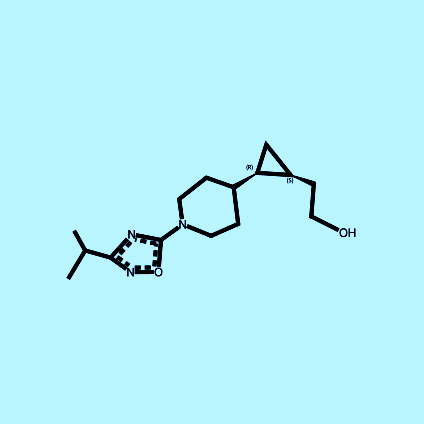 CC(C)c1noc(N2CCC([C@H]3C[C@H]3CCO)CC2)n1